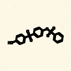 O=S(=O)(Oc1ccc(S(=O)(=O)c2ccc(O)cc2)cc1)c1ccccc1